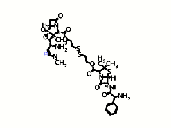 C=N/C=C\N(N)C[C@@]1(C)[C@@H](C(=O)OCCSSCCOC(=O)C2N3C(=O)[C@@H](NC(=O)C(N)c4ccccc4)[C@H]3SC2(C)C)N2C(=O)C[C@@H]2S1(=O)=O